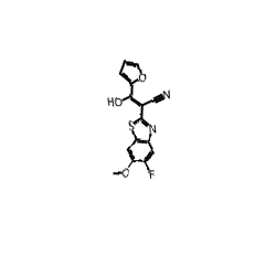 COc1cc2sc(C(C#N)=C(O)c3ccco3)nc2cc1F